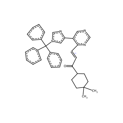 CC1(C)CCC(C(=O)/C=C/c2ncncc2-c2cn(C(c3ccccc3)(c3ccccc3)c3ccccc3)cn2)CC1